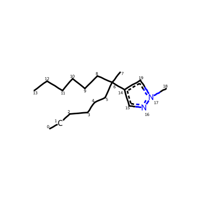 CCCCCCC(C)(CCCCCC)c1cnn(C)c1